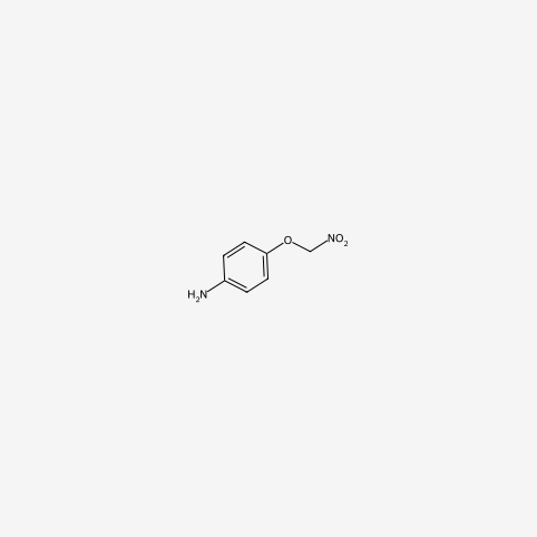 Nc1ccc(OC[N+](=O)[O-])cc1